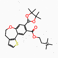 CC1(C)OB(c2cc3c(cc2C(=O)OCC[Si](C)(C)C)-c2sccc2CCO3)OC1(C)C